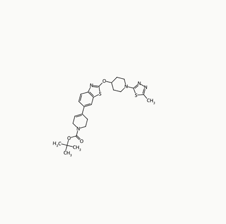 Cc1nnc(N2CCC(Oc3nc4ccc(C5=CCN(C(=O)OC(C)(C)C)CC5)cc4s3)CC2)s1